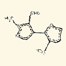 Cn1ncc(-c2occc2C(=O)O)c1C=O